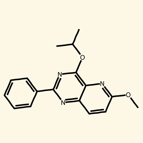 COc1ccc2nc(-c3ccccc3)nc(OC(C)C)c2n1